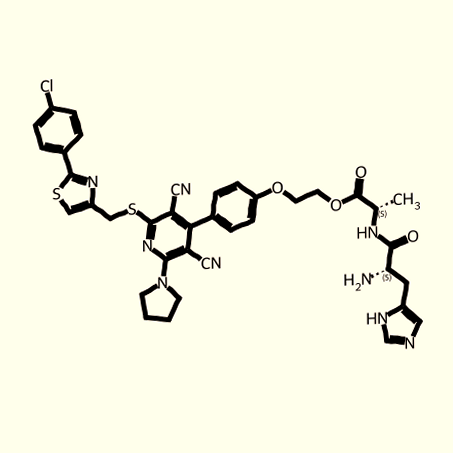 C[C@H](NC(=O)[C@@H](N)Cc1cnc[nH]1)C(=O)OCCOc1ccc(-c2c(C#N)c(SCc3csc(-c4ccc(Cl)cc4)n3)nc(N3CCCC3)c2C#N)cc1